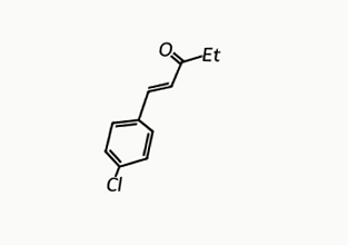 CCC(=O)C=Cc1ccc(Cl)cc1